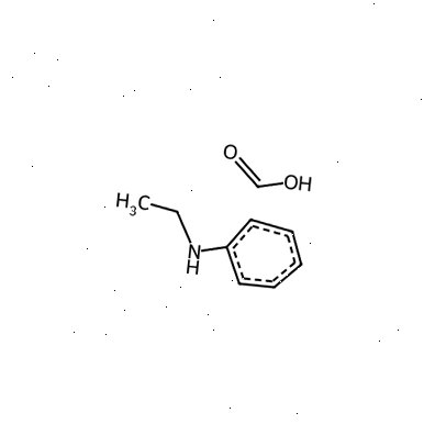 CCNc1ccccc1.O=CO